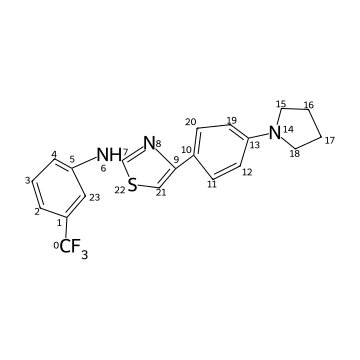 FC(F)(F)c1cccc(Nc2nc(-c3ccc(N4CCCC4)cc3)cs2)c1